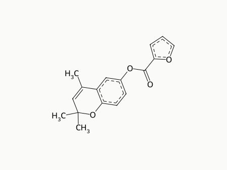 CC1=CC(C)(C)Oc2ccc(OC(=O)c3ccco3)cc21